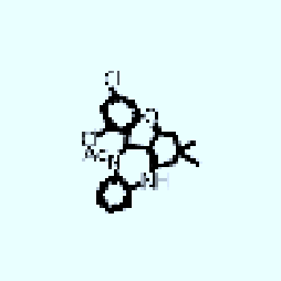 CC(=O)N1c2ccccc2NC2=C(C(=O)CC(C)(C)C2)C1c1ccc(Cl)cc1Cl